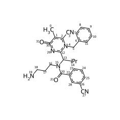 Cc1c(C#N)n(Cc2ccccc2)c(C(C(C)C)N(CCCN)C(=O)c2cccc(C#N)c2)nc1=O